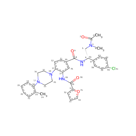 CC(=O)N(C)C[C@@H](NC(=O)c1ccc(N2CCN(c3ccccc3C)CC2)c(NC(=O)c2ccco2)c1)c1ccc(Cl)cc1